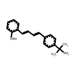 COc1ccccc1/C=C/C=C/c1ccc(C(C)(C)N)cc1